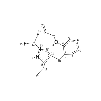 C=CCOc1ccccc1Cc1cn(C(F)F)nc1CC